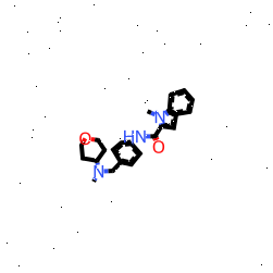 CN(Cc1ccc(NC(=O)c2cc3ccccc3n2C)cc1)C1CCOCC1